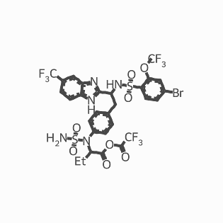 CCC(C(=O)OC(=O)C(F)(F)F)N(c1ccc(CC(NS(=O)(=O)c2ccc(Br)cc2OC(F)(F)F)c2nc3cc(C(F)(F)F)ccc3[nH]2)cc1)S(N)(=O)=O